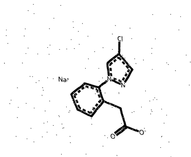 O=C([O-])Cc1ccccc1-n1cc(Cl)cn1.[Na+]